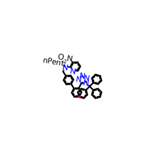 CCCCCN(Cc1ccc(-c2ccccc2-c2nnnn2C(c2ccccc2)(c2ccccc2)c2ccccc2)cc1)c1ncccc1[N+](=O)[O-]